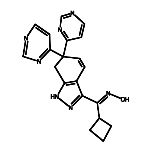 ON=C(c1n[nH]c2c1C=CC(c1ccncn1)(c1ccncn1)C2)C1CCC1